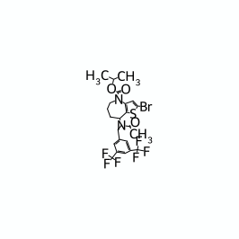 CC(=O)N(Cc1cc(C(F)(F)F)cc(C(F)(F)F)c1)C1CCCN(C(=O)OC(C)C)c2cc(Br)sc21